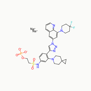 O=P([O-])([O-])OCCS(=O)(=O)Nc1ccc(-c2cn(-c3cc(N4CCC(F)(F)CC4)c4ncccc4c3)nn2)c(N2CCC3(CC2)CC3)c1.[Na+].[Na+]